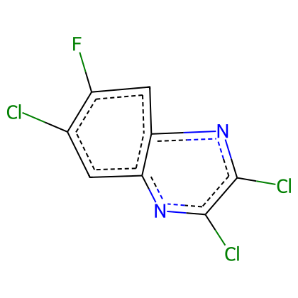 Fc1cc2nc(Cl)c(Cl)nc2cc1Cl